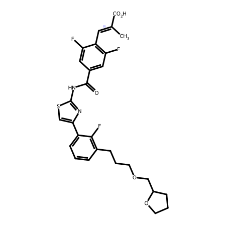 C/C(=C\c1c(F)cc(C(=O)Nc2nc(-c3cccc(CCCOCC4CCCO4)c3F)cs2)cc1F)C(=O)O